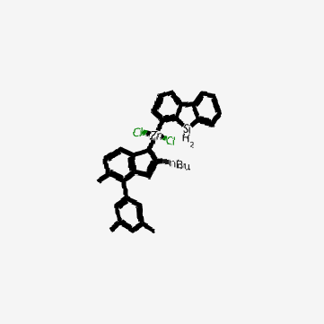 CCCCC1=Cc2c(ccc(C)c2-c2cc(C)cc(C)c2)[CH]1[Zr]([Cl])([Cl])[c]1cccc2c1[SiH2]c1ccccc1-2